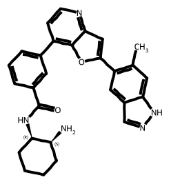 Cc1cc2[nH]ncc2cc1-c1cc2nccc(-c3cccc(C(=O)N[C@@H]4CCCC[C@@H]4N)c3)c2o1